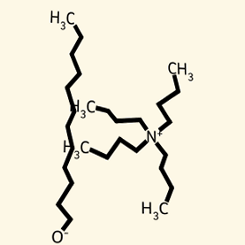 CCCCCCCCCCCC[O-].CCCC[N+](CCCC)(CCCC)CCCC